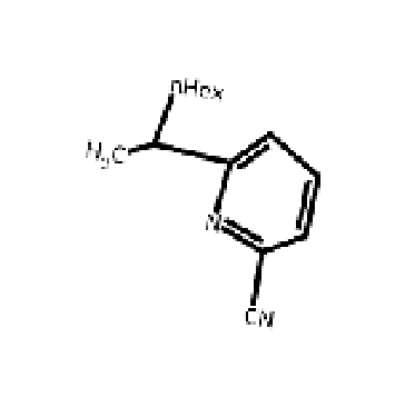 CCCCCCC(C)c1cccc(C#N)n1